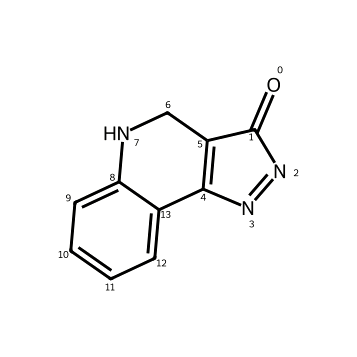 O=C1N=NC2=C1CNc1ccccc12